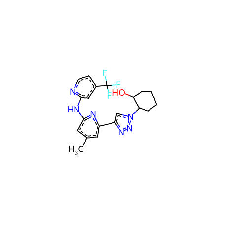 Cc1cc(Nc2cc(C(F)(F)F)ccn2)nc(-c2cn(C3CCCCC3O)nn2)c1